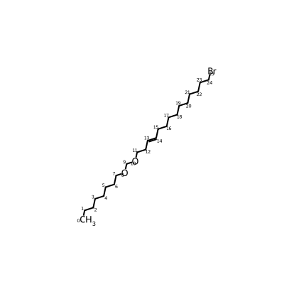 CCCCCCCCOCOCCC=CCCCCCCCCCCBr